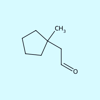 CC1(CC=O)CCCC1